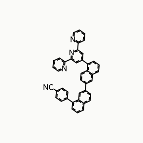 N#Cc1ccc(-c2cccc3ccc(-c4ccc5c(-c6cc(-c7ccccn7)nc(-c7ccccn7)c6)cccc5c4)cc23)cc1